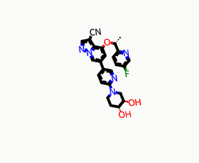 C[C@@H](Oc1cc(-c2ccc(N3CC[C@@H](O)[C@H](O)C3)nc2)cn2ncc(C#N)c12)c1ccc(F)cn1